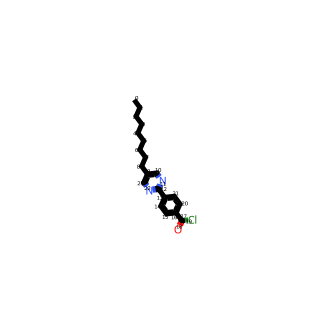 CCCCCCCCCc1cnc(-c2ccc(C(=O)Cl)cc2)nc1